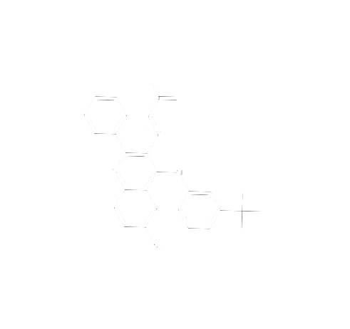 CC(=O)/C=C/c1c(-c2ccccc2)nc2ccc(N)cc2c1Nc1cccc(C(F)(F)F)c1